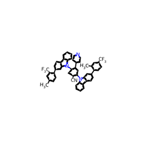 Cc1ccc(-c2ccc3c4ccccc4n(-c4cc(C#N)c(-n5c6ccccc6c6ccc(-c7ccc(C(F)(F)F)cc7C)cc65)cc4-c4ccncc4)c3c2)c(C(F)(F)F)c1